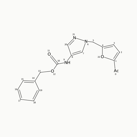 CC(=O)c1ccc(Cn2cc(NC(=O)OCc3ccccc3)cn2)o1